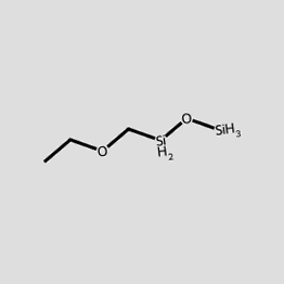 CCOC[SiH2]O[SiH3]